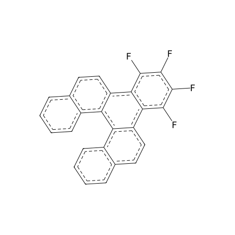 Fc1c(F)c(F)c2c3ccc4ccccc4c3c3c4ccccc4ccc3c2c1F